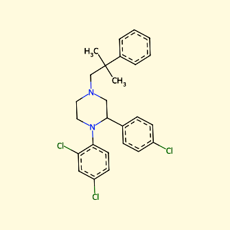 CC(C)(CN1CCN(c2ccc(Cl)cc2Cl)C(c2ccc(Cl)cc2)C1)c1ccccc1